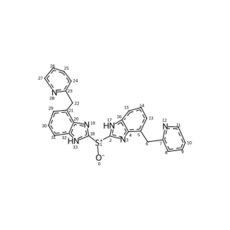 [O-][S+](c1nc2c(Cc3ccccn3)cccc2[nH]1)c1nc2c(Cc3ccccn3)cccc2[nH]1